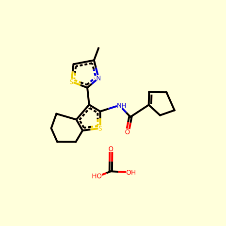 Cc1csc(-c2c(NC(=O)C3=CCCC3)sc3c2CCCC3)n1.O=C(O)O